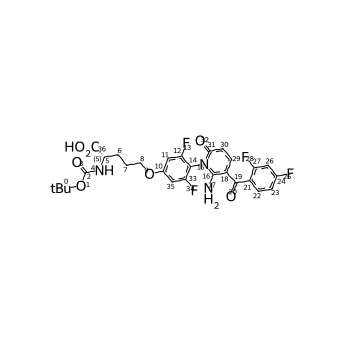 CC(C)(C)OC(=O)N[C@@H](CCCOc1cc(F)c(-n2c(N)c(C(=O)c3ccc(F)cc3F)ccc2=O)c(F)c1)C(=O)O